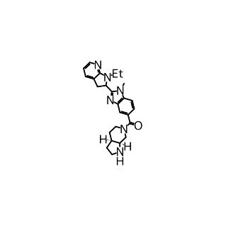 CCN1c2ncccc2CC1c1nc2cc(C(=O)N3CC[C@@H]4CCN[C@@H]4C3)ccc2n1C